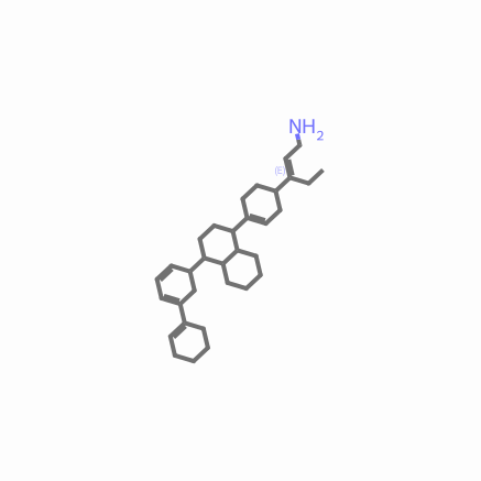 CC/C(=C\CN)C1CC=C(C2CCC(C3C=CC=C(C4=CCCCC4)C3)C3CCCCC23)CC1